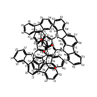 c1ccc(-c2nc(-n3c4ccccc4c4ccc5c6ccccc6n(-c6cccc(-n7c8ccccc8c8ccccc87)c6)c5c43)nc(-n3c4ccccc4c4ccc5c6ccccc6n(-c6cccc(-n7c8ccccc8c8ccccc87)c6)c5c43)n2)cc1